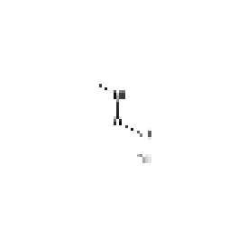 CNONO